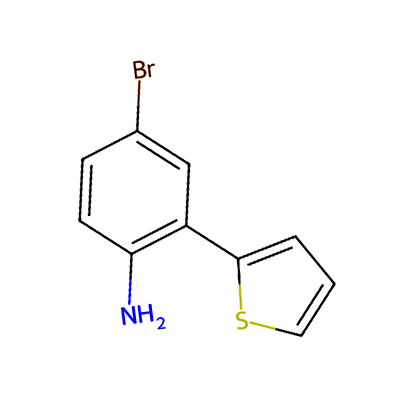 Nc1ccc(Br)cc1-c1cccs1